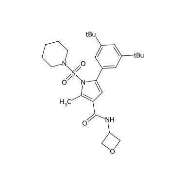 Cc1c(C(=O)NC2COC2)cc(-c2cc(C(C)(C)C)cc(C(C)(C)C)c2)n1S(=O)(=O)N1CCCCC1